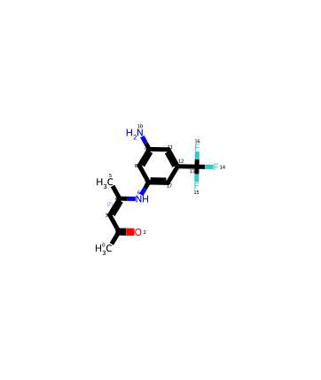 CC(=O)/C=C(/C)Nc1cc(N)cc(C(F)(F)F)c1